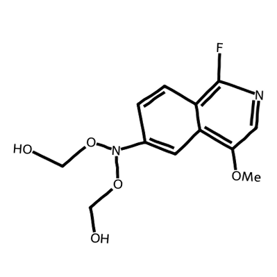 COc1cnc(F)c2ccc(N(OCO)OCO)cc12